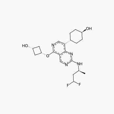 C[C@@H](CC(F)F)Nc1ncc2c(O[C@H]3C[C@@H](O)C3)ncc([C@H]3CC[C@H](O)CC3)c2n1